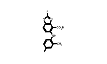 Cc1cc(I)ccc1Nc1ccc2oc(F)nc2c1C(=O)O